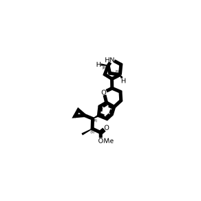 COC(=O)[C@@H](C)[C@H](c1ccc2c(c1)OC(C1C[C@H]3C[C@@H]1CN3)CC2)C1CC1